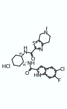 CN1CCc2nc(C(=O)N[C@@H]3CCCC[C@H]3NC(=O)c3cc4cc(Cl)c(F)cc4[nH]3)sc2C1.Cl